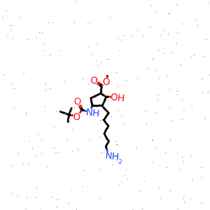 COC(=O)C1CC(NC(=O)OC(C)(C)C)C(CCCCCCN)C1O